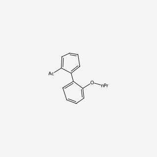 CCCOc1ccccc1-c1ccccc1C(C)=O